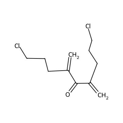 C=C(CCCCl)C(=O)C(=C)CCCCl